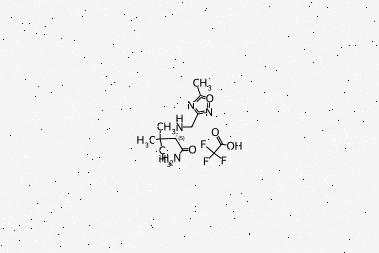 Cc1nc(CN[C@H](C(N)=O)C(C)(C)C)no1.O=C(O)C(F)(F)F